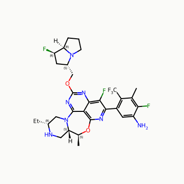 CC[C@@H]1CN2c3nc(OC[C@@H]4C[C@@H](F)[C@H]5CCCN45)nc4c(F)c(-c5cc(N)c(F)c(C)c5C(F)(F)F)nc(c34)O[C@@H](C)[C@@H]2CN1